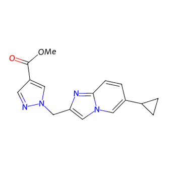 COC(=O)c1cnn(Cc2cn3cc(C4CC4)ccc3n2)c1